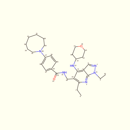 CCc1nc2c(cnn2CC)c(NC2CCOCC2)c1CNC(=O)c1ccc(N2CCCCCCC2)cc1